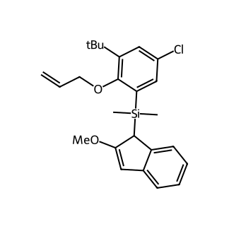 C=CCOc1c(C(C)(C)C)cc(Cl)cc1[Si](C)(C)C1C(OC)=Cc2ccccc21